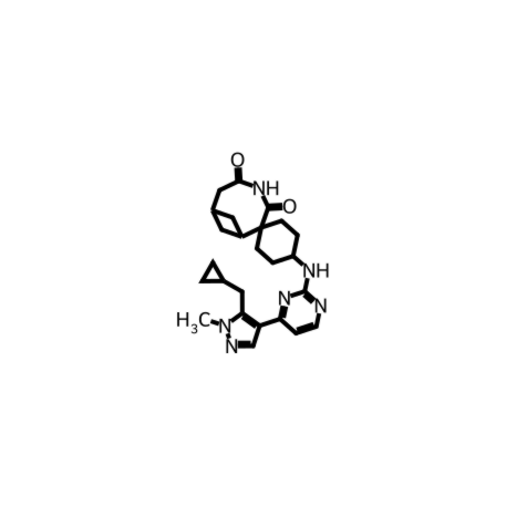 Cn1ncc(-c2ccnc(NC3CCC4(CC3)C(=O)NC(=O)CC3CC4C3)n2)c1CC1CC1